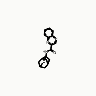 O=C(NC12CC3CC(CC1C3)C2)c1cnc2ccccc2n1